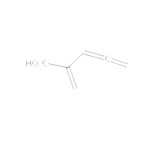 C=C=CC(=C)C(=O)O